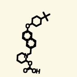 CC(C)(C)C1CCC(Oc2ccc3cc(CN4CCCCC4OC(=O)O)ccc3c2)CC1